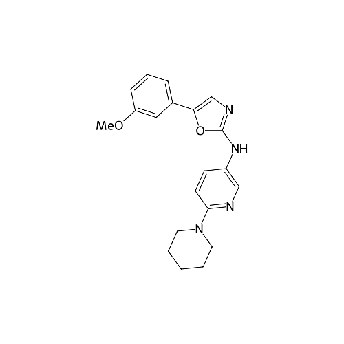 COc1cccc(-c2cnc(Nc3ccc(N4CCCCC4)nc3)o2)c1